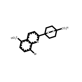 O=C(O)c1ccc(Br)c2nc(C34CCC(C(=O)O)(CC3)CC4)ccc12